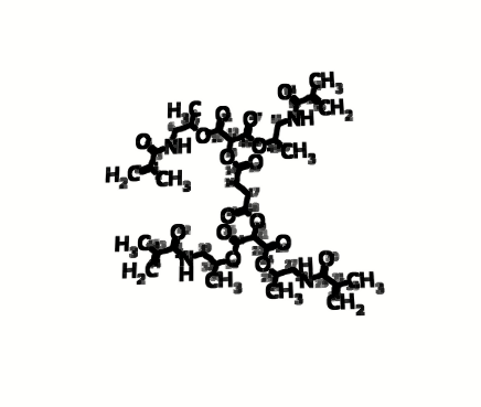 C=C(C)C(=O)NCC(C)OC(=O)C(OC(=O)CCC(=O)OC(C(=O)OC(C)CNC(=O)C(=C)C)C(=O)OC(C)CNC(=O)C(=C)C)C(=O)OC(C)CNC(=O)C(=C)C